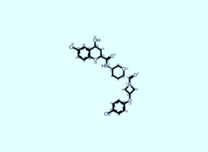 O=C(N[C@@H]1CC[C@@H](C(=O)N2CC(Oc3ccc(Cl)cc3)C2)OC1)C1CC(O)c2cc(Cl)ccc2O1